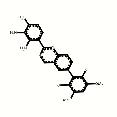 COc1cc(OC)c(Cl)c(-c2ccc3nc(-c4ccc(C)c(N)c4N)ncc3c2)c1Cl